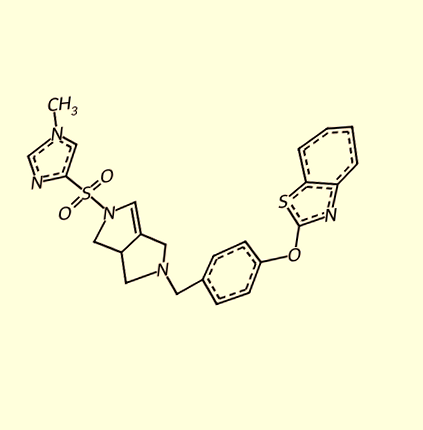 Cn1cnc(S(=O)(=O)N2C=C3CN(Cc4ccc(Oc5nc6ccccc6s5)cc4)CC3C2)c1